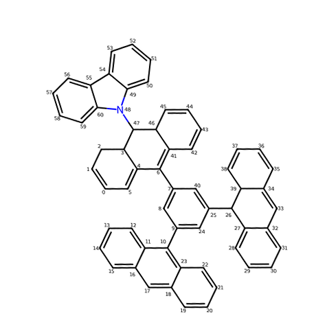 C1=CCC2C(=C1)C(c1cc(-c3c4ccccc4cc4ccccc34)cc(C3c4ccccc4C=C4C=CC=CC43)c1)=C1C=CC=CC1C2n1c2ccccc2c2ccccc21